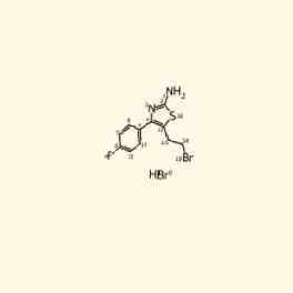 Br.Nc1nc(-c2ccc(F)cc2)c(CCBr)s1